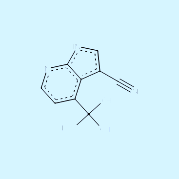 CC(C)(C)c1ccnc2[nH]cc(C#N)c12